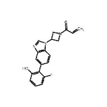 C=CC(=O)N1CC(n2cnc3cc(-c4c(O)cccc4F)ccc32)C1